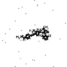 COC(=O)c1ccc(C#Cc2ccc(OCc3c(C(C)C)nnn3-c3c(Cl)cccc3Cl)cc2C)cc1